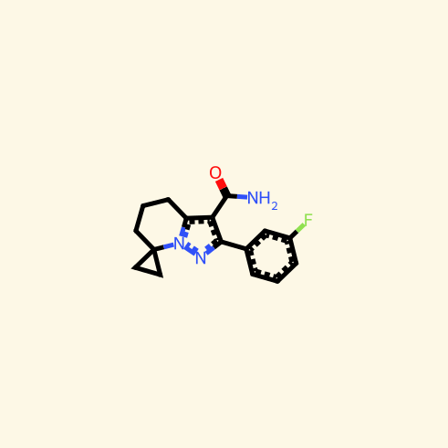 NC(=O)c1c(-c2cccc(F)c2)nn2c1CCCC21CC1